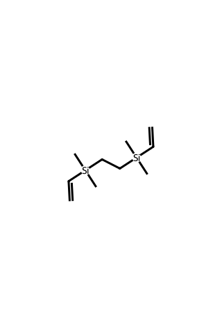 C=C[Si](C)(C)CC[Si](C)(C)C=C